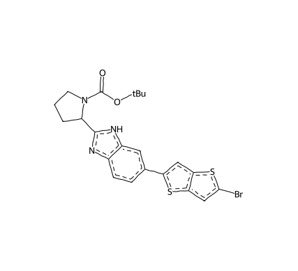 CC(C)(C)OC(=O)N1CCCC1c1nc2ccc(-c3cc4sc(Br)cc4s3)cc2[nH]1